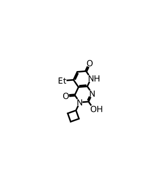 CCc1cc(=O)[nH]c2nc(O)n(C3CCC3)c(=O)c12